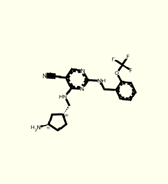 N#Cc1cnc(NCc2ccccc2OC(F)(F)F)nc1NC[C@@H]1CC[C@@H](N)C1